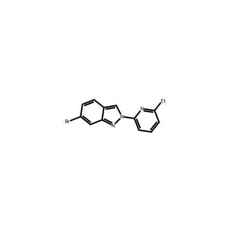 CCc1cccc(-n2cc3ccc(Br)cc3n2)n1